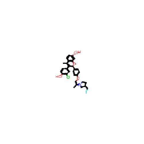 CC1=C(c2ccc(O)c(Cl)c2)C(c2ccc(OCC(C)N3CCC(CF)C3)cc2)Oc2cc(O)ccc21